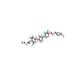 C=CCOc1ccc(-c2ccc(OCc3ccc(C)c(F)c3)cc2)c(F)c1F